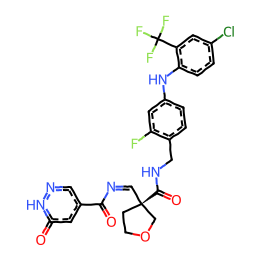 O=C(/N=C\[C@@]1(C(=O)NCc2ccc(Nc3ccc(Cl)cc3C(F)(F)F)cc2F)CCOC1)c1cn[nH]c(=O)c1